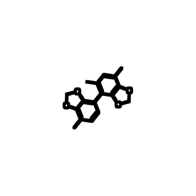 Cc1ccc(-c2c(C)cc(C)c3c2OCO3)c2c1OCO2